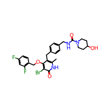 Cc1[nH]c(=O)c(Br)c(OCc2ccc(F)cc2F)c1Cc1ccc(CNC(=O)N2CCC(O)CC2)cc1